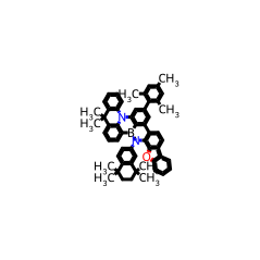 Cc1cc(C)c(-c2cc3c4c(c2)N2c5ccccc5C(C)(C)c5cccc(c52)B4N(c2ccc4c(c2)C(C)(C)CCC4(C)C)c2c-3ccc3c2oc2ccccc23)c(C)c1